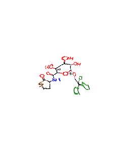 O=C1SCCC1NC(=O)C1O[C@@H](OCC(Cl)(Cl)Cl)C(O)C(O)[C@@H]1O